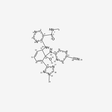 CNC(=O)c1cncnc1NC1C=CC=C(c2ncn(C)n2)C1(Nc1ccc(C#N)cn1)OC